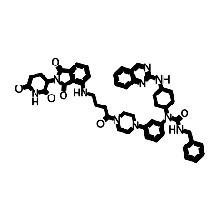 O=C1CCC(N2C(=O)c3cccc(NCCCC(=O)N4CCN(c5cccc(N(C(=O)NCc6ccccc6)C6CCC(Nc7ncc8ccccc8n7)CC6)c5)CC4)c3C2=O)C(=O)N1